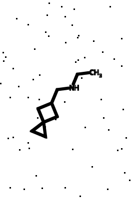 CCNCC1CC2(CC2)C1